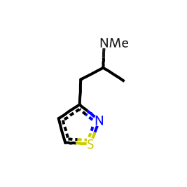 CNC(C)Cc1ccsn1